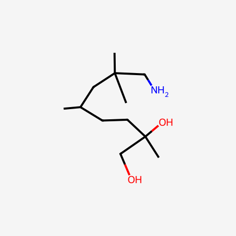 CC(CCC(C)(O)CO)CC(C)(C)CN